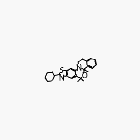 CC1(C)OC2(C)c3ccccc3CCN2c2cc3sc(C4CCCCC4)nc3cc21